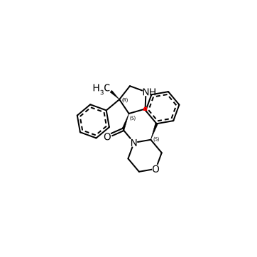 C[C@@]1(c2ccccc2)CNC[C@H]1C(=O)N1CCOC[C@@H]1c1ccccc1